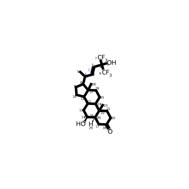 CC(/C=C/C(O)(C(F)(F)F)C(F)(F)F)C1CCC2C3C[C@H](O)[C@@H]4CC(=O)CCC4(C)C3CCC12C